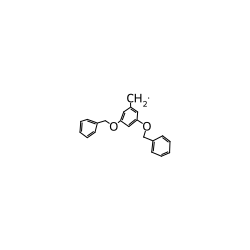 [CH2]c1cc(OCc2ccccc2)cc(OCc2ccccc2)c1